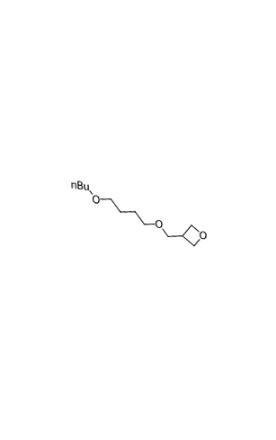 CCCCOCCCCOCC1COC1